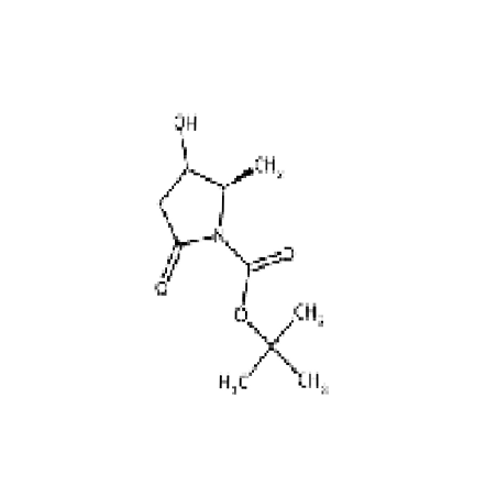 C[C@@H]1C(O)CC(=O)N1C(=O)OC(C)(C)C